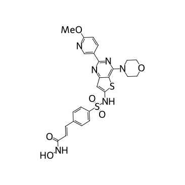 COc1ccc(-c2nc(N3CCOCC3)c3sc(NS(=O)(=O)c4ccc(/C=C/C(=O)NO)cc4)cc3n2)cn1